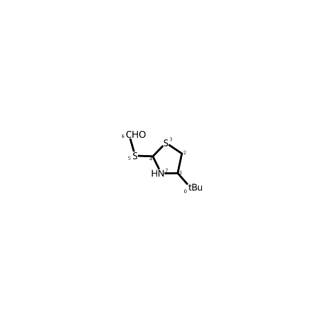 CC(C)(C)C1CSC(SC=O)N1